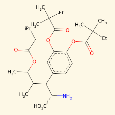 CCC(C)(C)C(=O)Oc1ccc(C(C(C)C(C)OC(=O)CC(C)C)[C@H](N)C(=O)O)cc1OC(=O)C(C)(C)CC